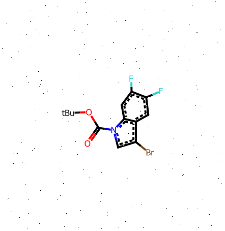 CC(C)(C)OC(=O)n1cc(Br)c2cc(F)c(F)cc21